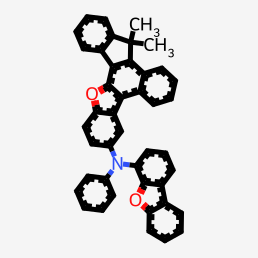 CC1(C)c2ccccc2-c2c1c1ccccc1c1c2oc2ccc(N(c3ccccc3)c3cccc4c3oc3ccccc34)cc21